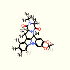 [2H]c1c([2H])c([2H])c2c3c([nH]c2c1[2H])[C@@]([2H])(c1ccc2c(c1)OC([2H])([2H])O2)N1C(=O)C([2H])([2H])N(C([2H])([2H])[2H])C(=O)[C@@]1([2H])C3([2H])[2H]